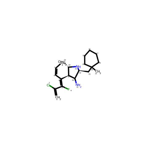 C=C(Cl)/C(F)=C(\C=C/C)[C@@H]1C(N)[C@H](CC2(C)CCCCC2)N[C@H]1C=O